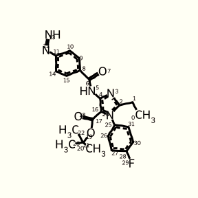 CCc1nc(NC(=O)c2ccc(N=N)cc2)c(C(=O)OC(C)(C)C)n1-c1ccc(F)cc1